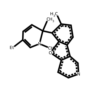 CCC1=CN(C)C(C)(c2c(C)ccc3c2oc2ccncc23)C=C1